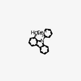 Cc1cccc2c3ccccc3n(-c3cccc[n+]3C)c12